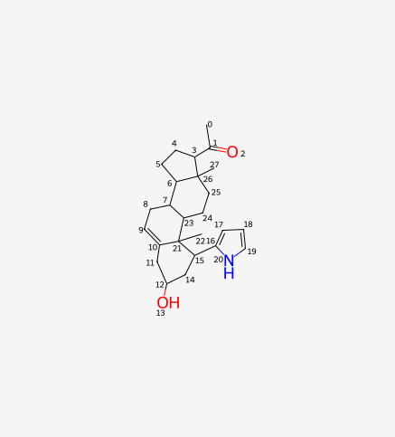 CC(=O)C1CCC2C3CC=C4CC(O)CC(c5ccc[nH]5)C4(C)C3CCC12C